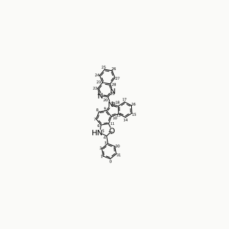 c1ccc(C2Nc3ccc4c(c3O2)c2ccccc2n4-c2ncc3ccccc3n2)cc1